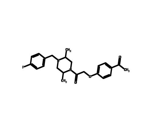 CC(=O)c1ccc(OCC(=O)N2CC(C)N(Cc3ccc(F)cc3)CC2C)cc1